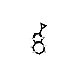 c1nc2c(nc1C1CC1)OCCNC2